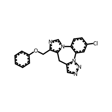 Clc1ccc2c(c1)-n1nncc1Cc1c(COc3ccccc3)ncn1-2